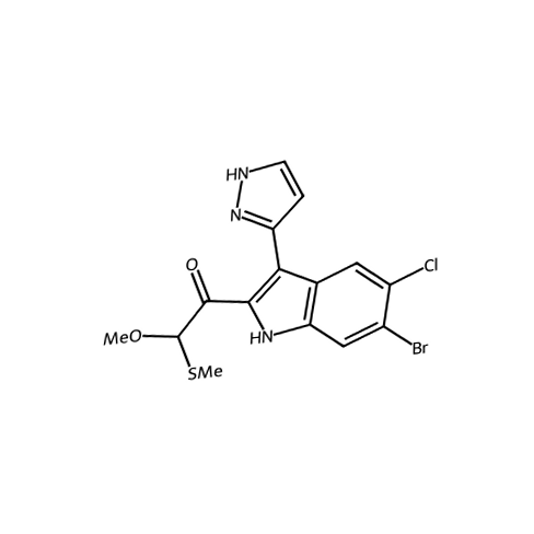 COC(SC)C(=O)c1[nH]c2cc(Br)c(Cl)cc2c1-c1cc[nH]n1